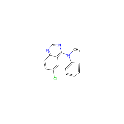 CN(c1ccccc1)c1ncnc2ccc(Cl)cc12